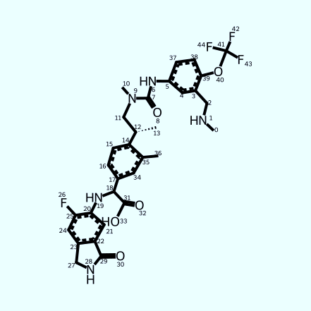 CNCc1cc(NC(=O)N(C)C[C@H](C)c2ccc(C(Nc3cc4c(cc3F)CNC4=O)C(=O)O)cc2C)ccc1OC(F)(F)F